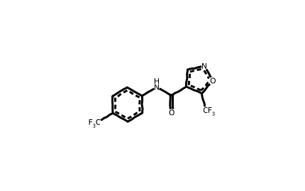 O=C(Nc1ccc(C(F)(F)F)cc1)c1cnoc1C(F)(F)F